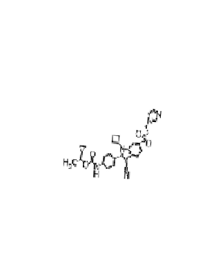 CC(OC(=O)Nc1ccc(-c2c(C#N)c3ccc(S(=O)(=O)CCn4ccnc4)cc3n2C2CCC2)cc1)C1CC1